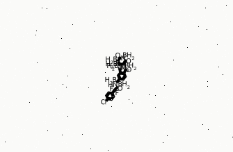 BN1C(=O)C(B)(B)C(B)(B)C(B)(N2Cc3cc(C(B)(B)NC(=O)C(F)(F)c4ccc(Cl)cc4)ccc3C2=O)C1=O